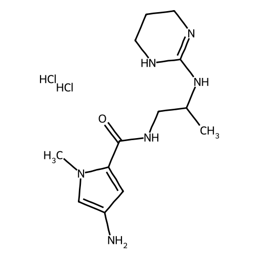 CC(CNC(=O)c1cc(N)cn1C)NC1=NCCCN1.Cl.Cl